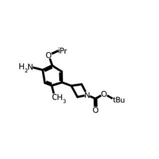 Cc1cc(N)c(OC(C)C)cc1C1CN(C(=O)OC(C)(C)C)C1